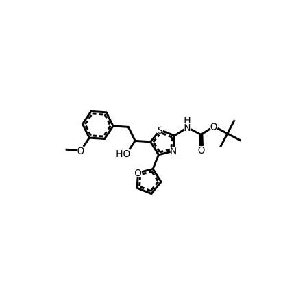 COc1cccc(CC(O)c2sc(NC(=O)OC(C)(C)C)nc2-c2ccco2)c1